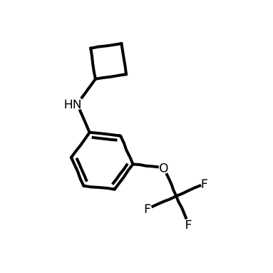 FC(F)(F)Oc1cccc(NC2CCC2)c1